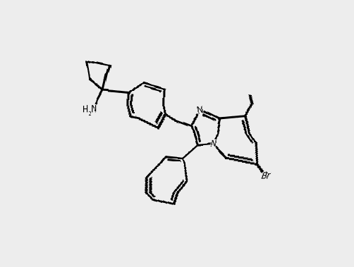 Cc1cc(Br)cn2c(-c3ccccc3)c(-c3ccc(C4(N)CCC4)cc3)nc12